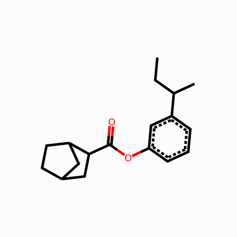 CCC(C)c1cccc(OC(=O)C2CC3CCC2C3)c1